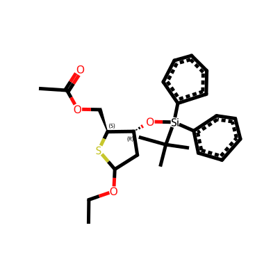 CCOC1C[C@@H](O[Si](c2ccccc2)(c2ccccc2)C(C)(C)C)[C@H](COC(C)=O)S1